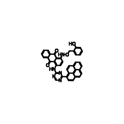 O=C1c2ccccc2C(=O)c2c(Nc3ncnc(-c4ccc5ccc6cccc7ccc4c5c67)n3)ccc(NOCc3ccccc3O)c21